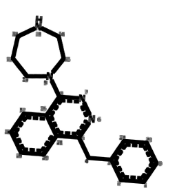 c1ccc(Cc2nnc(N3CCCNCC3)c3ccccc23)cc1